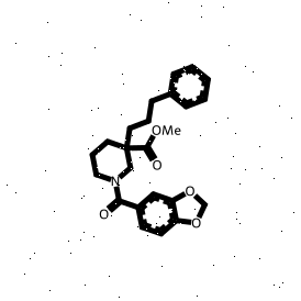 COC(=O)C1(CCCc2ccccc2)CCCN(C(=O)c2ccc3c(c2)OCO3)C1